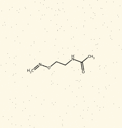 C=NOCCNC(C)=O